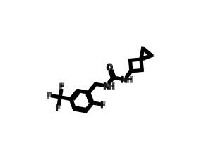 O=C(NCc1cc(C(F)(F)F)ccc1F)NC1CC2(CC2)C1